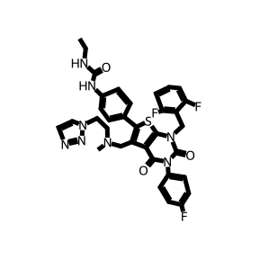 CCNC(=O)Nc1ccc(-c2sc3c(c2CN(C)CCn2ccnn2)c(=O)n(-c2ccc(F)cc2)c(=O)n3Cc2c(F)cccc2F)cc1